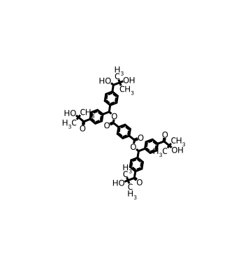 CC(C)(O)C(=O)c1ccc(C(OC(=O)c2ccc(C(=O)OC(c3ccc(C(=O)C(C)(C)O)cc3)c3ccc(C(O)C(C)(C)O)cc3)cc2)c2ccc(C(=O)C(C)(C)O)cc2)cc1